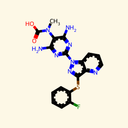 CN(C(=O)O)c1c(N)nc(-n2nc(Sc3ccccc3F)c3ncccc32)nc1N